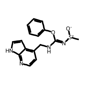 C[S+]([O-])/N=C(/NCc1ccnc2[nH]ccc12)Oc1ccccc1